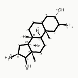 C[C@]12C[C@H](N)[C@@H](O)CC1CC[C@@H]1[C@@H]2CC[C@]2(C)C(O)[C@@H](N)C[C@@H]12